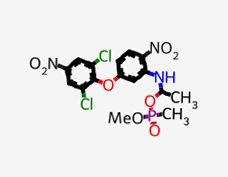 COP(C)(=O)OC(C)Nc1cc(Oc2c(Cl)cc([N+](=O)[O-])cc2Cl)ccc1[N+](=O)[O-]